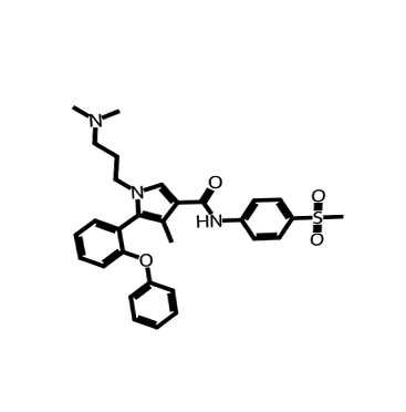 Cc1c(C(=O)Nc2ccc(S(C)(=O)=O)cc2)cn(CCCN(C)C)c1-c1ccccc1Oc1ccccc1